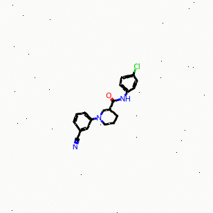 N#Cc1cccc(N2CCCC(C(=O)Nc3ccc(Cl)cc3)C2)c1